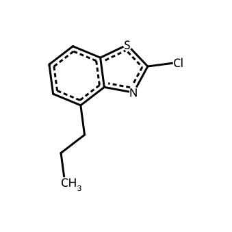 CCCc1cccc2sc(Cl)nc12